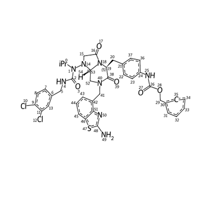 CC(C)N(C(=O)NCc1ccc(Cl)c(Cl)c1)N1CC(=O)N2[C@@H](Cc3ccc(NC(=O)OCc4ccccc4)cc3)C(=O)N(Cc3cccc4sc(N)nc34)C[C@@H]21